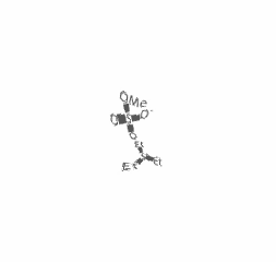 CC[S+](CC)CC.COS(=O)(=O)[O-]